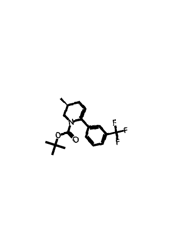 C[C@H]1CC=C(c2cccc(C(F)(F)F)c2)N(C(=O)OC(C)(C)C)C1